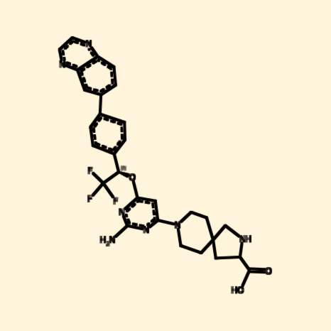 Nc1nc(O[C@H](c2ccc(-c3ccc4nccnc4c3)cc2)C(F)(F)F)cc(N2CCC3(CC2)CNC(C(=O)O)C3)n1